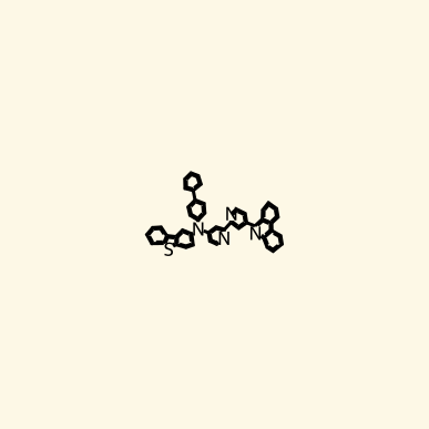 c1ccc(-c2ccc(N(c3ccnc(-c4cc(-c5nc6ccccc6c6ccccc56)ccn4)c3)c3ccc4sc5ccccc5c4c3)cc2)cc1